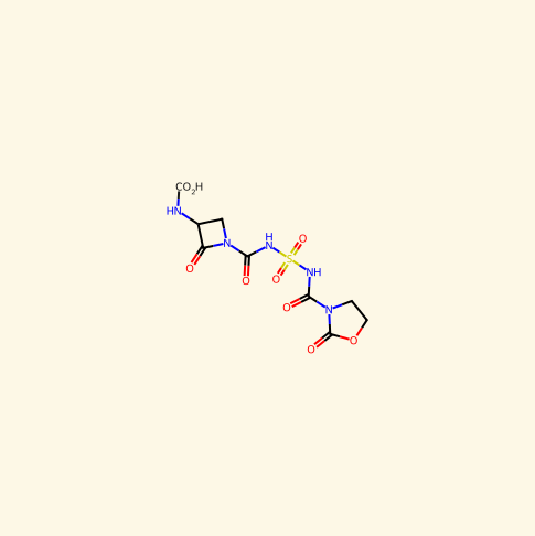 O=C(O)NC1CN(C(=O)NS(=O)(=O)NC(=O)N2CCOC2=O)C1=O